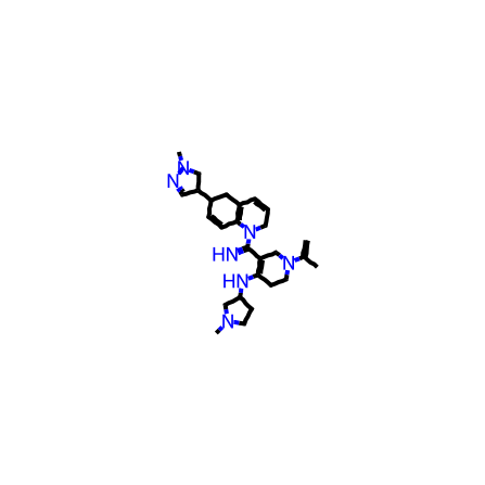 C=C(C)N1CCC(NC2CCN(C)C2)=C(C(=N)N2CC=CC3=C2C=CC(C2C=NN(C)C2)C3)C1